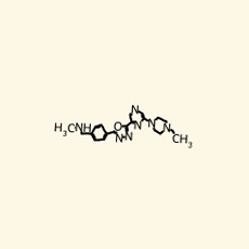 CCN1CCN(c2cncc(-c3nnc(-c4ccc(CNC)cc4)o3)n2)CC1